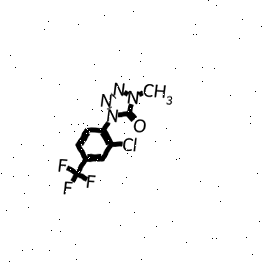 Cn1nnn(-c2ccc(C(F)(F)F)cc2Cl)c1=O